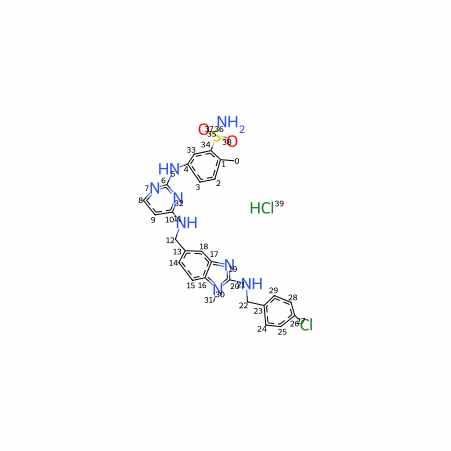 Cc1ccc(Nc2nccc(NCc3ccc4c(c3)nc(NCc3ccc(Cl)cc3)n4C)n2)cc1S(N)(=O)=O.Cl